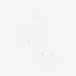 c1ccc(-n2cc(-c3nccs3)nc2-c2ccc(-n3ccc4cccnc43)cc2)nc1